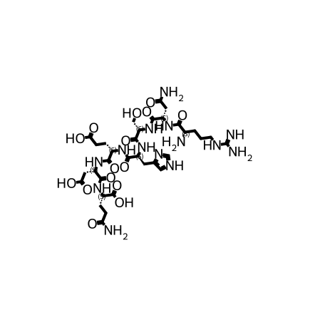 N=C(N)NCCC[C@H](N)C(=O)N[C@@H](CC(N)=O)C(=O)N[C@@H](CO)C(=O)N[C@@H](Cc1c[nH]cn1)C(=O)N[C@@H](CCC(=O)O)C(=O)N[C@@H](CC(=O)O)C(=O)N[C@@H](CCC(N)=O)C(=O)O